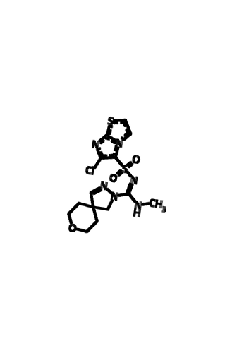 CN/C(=N/S(=O)(=O)c1c(Cl)nc2sccn12)N1CC2(C=N1)CCOCC2